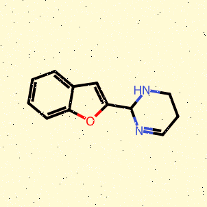 C1=NC(c2cc3ccccc3o2)NCC1